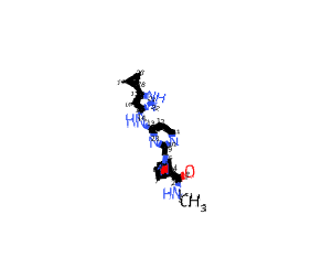 CNC(=O)C12CC(C1)N(c1nccc(Nc3cc(C4CC4)[nH]n3)n1)C2